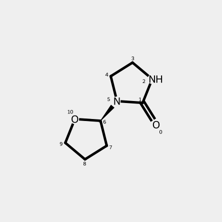 O=C1NCCN1[C@H]1CCCO1